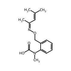 CC(C)=CC(C)=NOCc1ccccc1N(C)C(=O)O